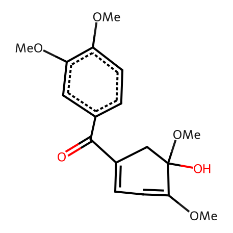 COC1=CC=C(C(=O)c2ccc(OC)c(OC)c2)CC1(O)OC